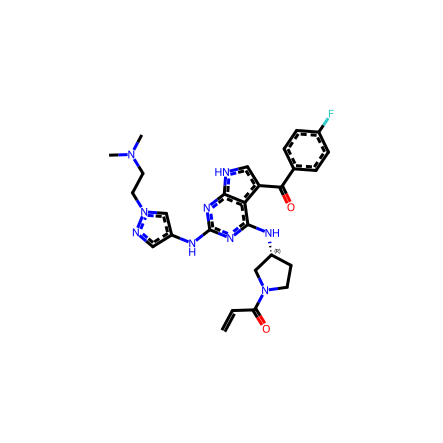 C=CC(=O)N1CC[C@@H](Nc2nc(Nc3cnn(CCN(C)C)c3)nc3[nH]cc(C(=O)c4ccc(F)cc4)c23)C1